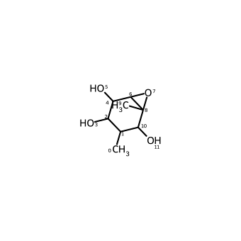 CC1C(O)C(O)C2OC2(C)C1O